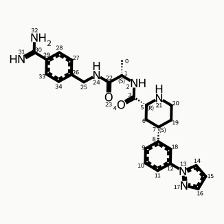 C[C@H](NC(=O)[C@H]1C[C@@H](c2cccc(-n3cccn3)c2)CCN1)C(=O)NCc1ccc(C(=N)N)cc1